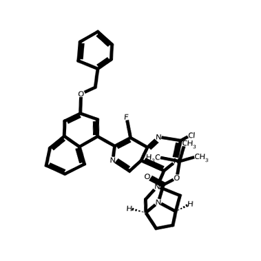 CC(C)(C)OC(=O)N1[C@@H]2CC[C@H]1CN(c1nc(Cl)nc3c(F)c(-c4cc(OCc5ccccc5)cc5ccccc45)ncc13)C2